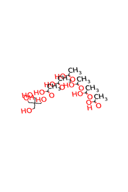 CC(=O)O.CC(=O)O.CC(=O)O.CC(=O)O.CC(=O)O.CC(=O)O.OCC(CO)(CO)CO